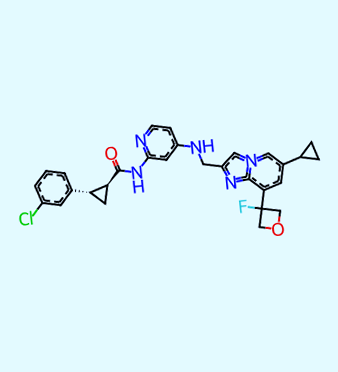 O=C(Nc1cc(NCc2cn3cc(C4CC4)cc(C4(F)COC4)c3n2)ccn1)[C@H]1C[C@@H]1c1cccc(Cl)c1